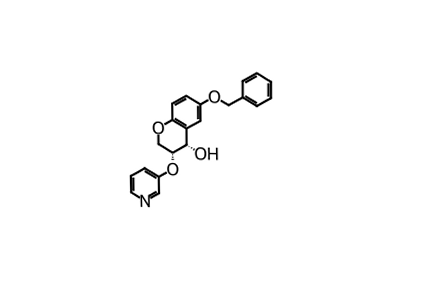 O[C@H]1c2cc(OCc3ccccc3)ccc2OC[C@H]1Oc1cccnc1